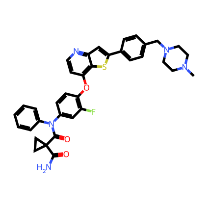 CN1CCN(Cc2ccc(-c3cc4nccc(Oc5ccc(N(C(=O)C6(C(N)=O)CC6)c6ccccc6)cc5F)c4s3)cc2)CC1